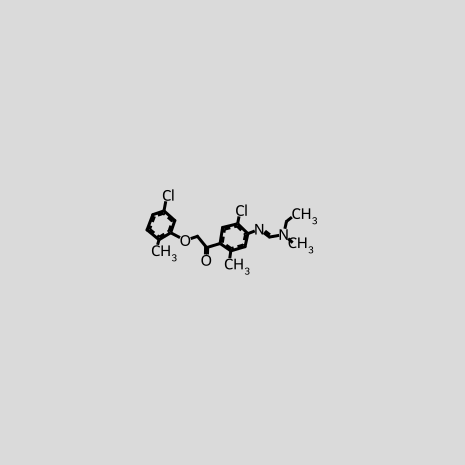 CCN(C)C=Nc1cc(C)c(C(=O)COc2cc(Cl)ccc2C)cc1Cl